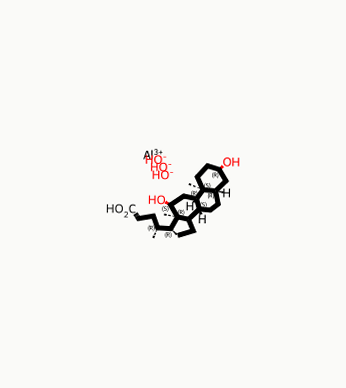 C[C@H](CCC(=O)O)[C@H]1CCC2[C@H]3CC[C@@H]4C[C@H](O)CC[C@]4(C)[C@@H]3C[C@H](O)[C@@]21C.[Al+3].[OH-].[OH-].[OH-]